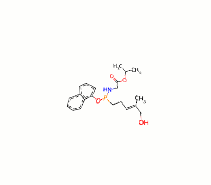 C/C(=C\CCP(NCC(=O)OC(C)C)Oc1cccc2ccccc12)CO